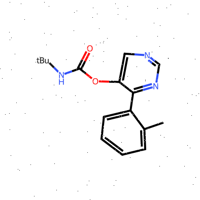 Cc1ccccc1-c1ncncc1OC(=O)NC(C)(C)C